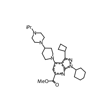 COC(=O)c1cc(N2CCC(N3CCN(C(C)C)CC3)CC2)c2c(C3CCC3)nn(C3CCCCC3)c2n1